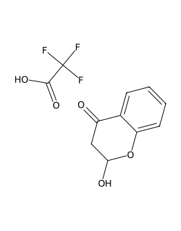 O=C(O)C(F)(F)F.O=C1CC(O)Oc2ccccc21